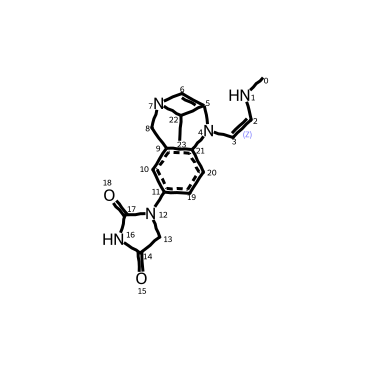 CN/C=C\N1C2=CN(Cc3cc(N4CC(=O)NC4=O)ccc31)C2C